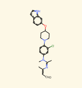 CC(=C/C=O)/N=C(/C)N(C)c1ccc(N2CCC(Oc3ccc4cc[nH]c4c3)CC2)c(Cl)c1